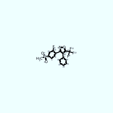 CS(=O)(=O)c1ccc(-c2noc(C(F)(F)F)c2-c2ccccc2)c(F)c1